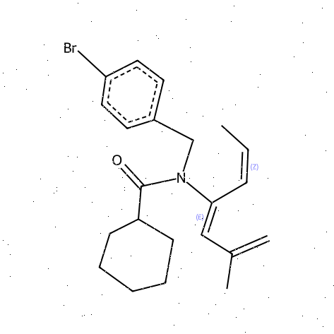 C=C(C)/C=C(\C=C/C)N(Cc1ccc(Br)cc1)C(=O)C1CCCCC1